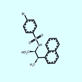 C[C@H](c1cccc2ccccc12)[C@H](NS(=O)(=O)c1ccc(Br)cc1)C(=O)O